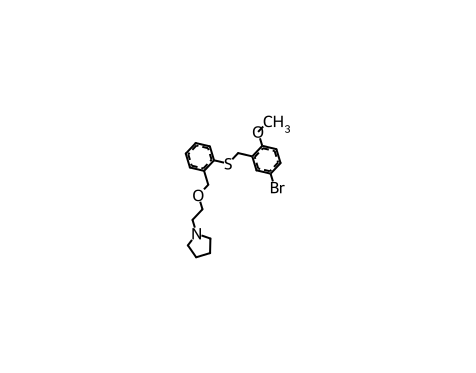 COc1ccc(Br)cc1CSc1ccccc1COCCN1CCCC1